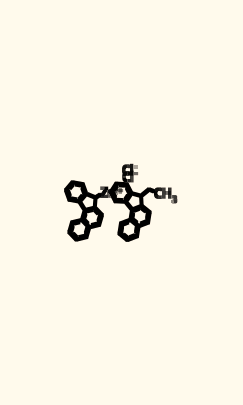 CCC1c2ccccc2-c2c1ccc1ccccc21.[Cl-].[Cl-].[Zr+2][CH]1c2ccccc2-c2c1ccc1ccccc21